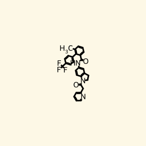 Cc1cccc(C(=O)Nc2ccc3c(c2)CCN3C(=O)Cc2ccccn2)c1-c1ccc(C(F)(F)F)cc1